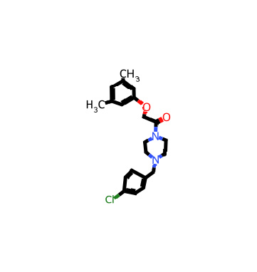 Cc1cc(C)cc(OCC(=O)N2CCN(Cc3ccc(Cl)cc3)CC2)c1